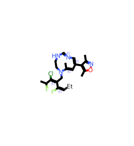 CC/C=C(F)\C(CN1CCN/C=N/C=C(c2c(C)noc2C)\C=C\1C)=C(\Cl)C(C)F